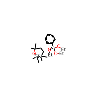 CC1(C)CC[Si](C)(C)[Si](C)(C)O1.CCO[Si](OCC)(OCC)c1ccccc1